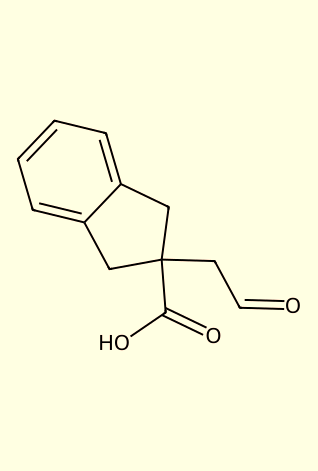 O=CCC1(C(=O)O)Cc2ccccc2C1